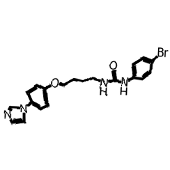 O=C(NCCCCOc1ccc(-n2ccnc2)cc1)Nc1ccc(Br)cc1